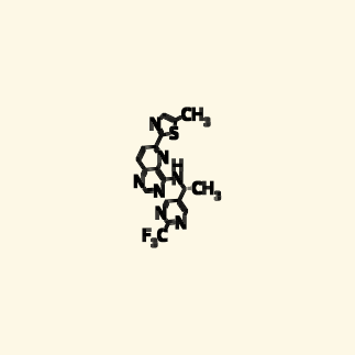 Cc1cnc(-c2ccc3ncnc(N[C@H](C)c4cnc(C(F)(F)F)nc4)c3n2)s1